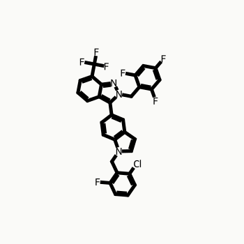 Fc1cc(F)c(Cn2nc3c(C(F)(F)F)cccc3c2-c2ccc3c(ccn3Cc3c(F)cccc3Cl)c2)c(F)c1